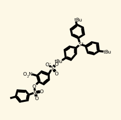 CC(C)(C)c1ccc([S+](c2ccc(C(C)(C)C)cc2)c2ccc(C(C)(C)C)cc2)cc1.Cc1ccc(S(=O)(=O)Oc2ccc(S(=O)(=O)[O-])cc2[N+](=O)[O-])cc1